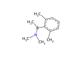 CB(c1c(C)cccc1C)N(C)C